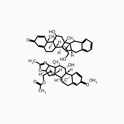 CC(=O)OCC(=O)[C@@]12N=C(C)O[C@@H]1C[C@H]1[C@@H]3CCC4=CC(=O)C=C[C@]4(C)[C@H]3[C@@H](O)C[C@@]12C.C[C@]12C=CC(=O)C=C1CC[C@H]1[C@@H]3C[C@H]4Cc5ccccc5C[C@@]4(C(=O)CO)[C@@]3(C)C[C@H](O)[C@@]12F.O